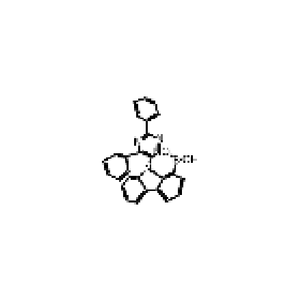 OB(O)c1cccc2c3ccccc3n(-c3cnc(-c4ccccc4)nc3-c3ccccc3)c12